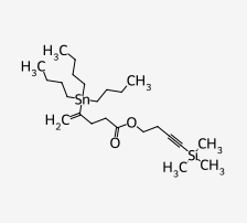 C=[C](CCC(=O)OCCC#C[Si](C)(C)C)[Sn]([CH2]CCC)([CH2]CCC)[CH2]CCC